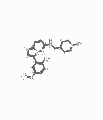 CC(C)N1CCC(CNc2ccc3ncc(-c4cc(OC(F)(F)F)ccc4O)n3n2)CC1